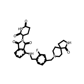 O=C1CCC(N2C(=O)c3cccc(NCc4ccc(CN5CCC6(CCNC6=O)CC5)cc4F)c3C2=O)C(=O)N1